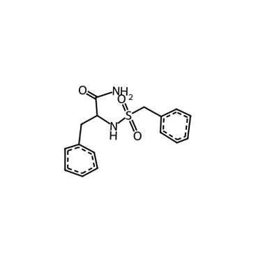 NC(=O)C(Cc1ccccc1)NS(=O)(=O)Cc1ccccc1